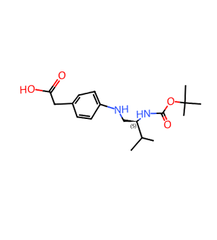 CC(C)[C@@H](CNc1ccc(CC(=O)O)cc1)NC(=O)OC(C)(C)C